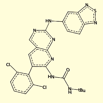 CC(C)(C)NC(=O)Nc1nc2nc(Nc3ccc4nsnc4c3)ncc2cc1-c1c(Cl)cccc1Cl